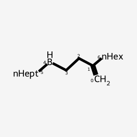 C=C(CCBCCCCCCC)CCCCCC